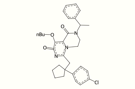 CCCCOc1c2n(c(CC3(c4ccc(Cl)cc4)CCCC3)nc1=O)CCN(C(C)c1ccccc1)C2=O